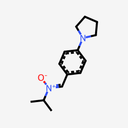 CC(C)[N+]([O-])=Cc1ccc(N2CCCC2)cc1